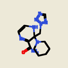 NC(=O)C1=NC=CNC1(Cn1ncnn1)N1CCCCC1